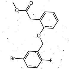 COC(=O)Cc1ccccc1OCc1cc(Br)ccc1F